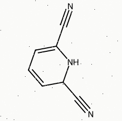 N#C[C]1C=CC=C(C#N)N1